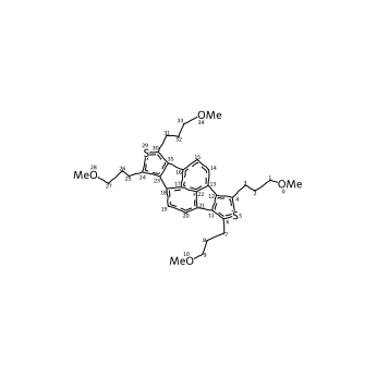 COCCCc1sc(CCCOC)c2c1-c1ccc3c4c(ccc-2c14)-c1c(CCCOC)sc(CCCOC)c1-3